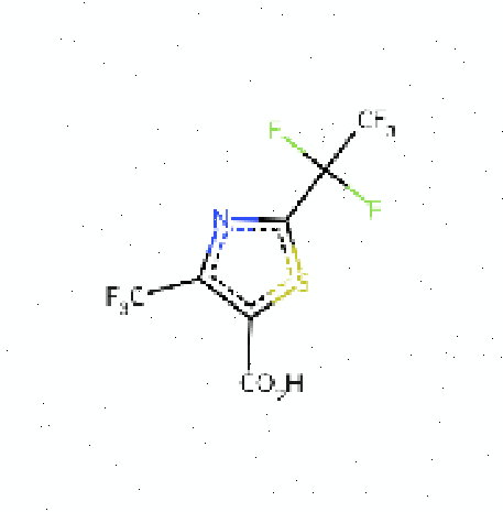 O=C(O)c1sc(C(F)(F)C(F)(F)F)nc1C(F)(F)F